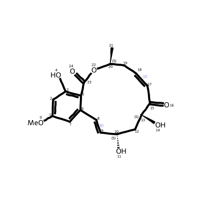 COc1cc(O)c2c(c1)/C=C/[C@@H](O)C[C@H](O)C(=O)/C=C\C[C@H](C)OC2=O